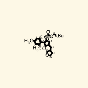 Cc1cc(C)c(C2=C(OC(=O)OCC(C)(C)C)CC(CC3CCOC3)C2=O)c(C)c1